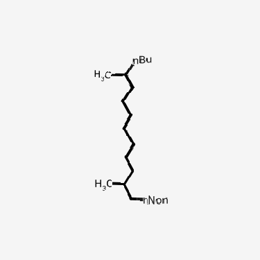 CCCCCCCCCCC(C)CCCCCCCC(C)CCCC